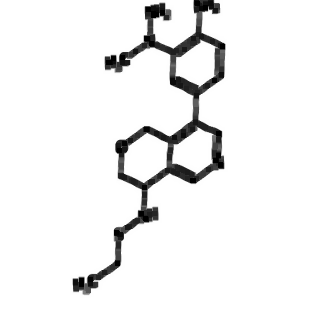 CCSNC1COCc2c(-c3ccc(N)c(N(C)N)c3)cncc21